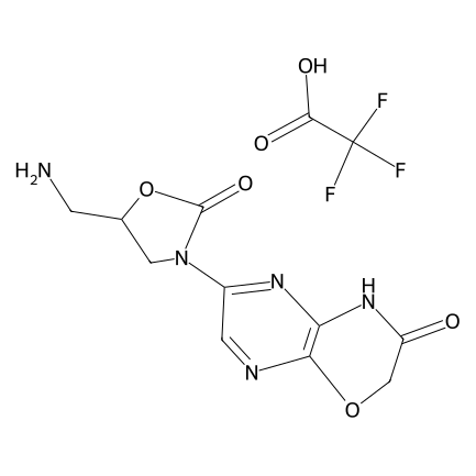 NCC1CN(c2cnc3c(n2)NC(=O)CO3)C(=O)O1.O=C(O)C(F)(F)F